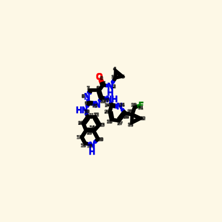 O=C(NC1CC1)c1cnc(Nc2ccc3c(c2)CCNC3)nc1Nc1cccc(C2(CF)CC2)n1